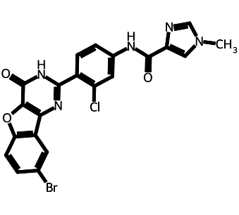 Cn1cnc(C(=O)Nc2ccc(-c3nc4c(oc5ccc(Br)cc54)c(=O)[nH]3)c(Cl)c2)c1